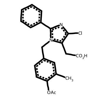 CC(=O)Oc1ccc(Cn2c(-c3ccccc3)nc(Cl)c2CC(=O)O)cc1C